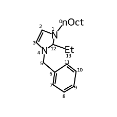 CCCCCCCCN1C=CN(Cc2ccccc2)C1CC